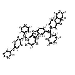 c1ccc(-c2ccc(N(c3ccccc3)c3cccc4c3sc3ccc(N(c5ccccc5)c5ccc6c(c5)sc5ccccc56)cc34)cc2)cc1